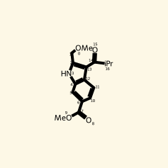 COCc1[nH]c2cc(C(=O)OC)ccc2c1C(=O)C(C)C